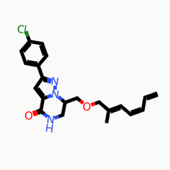 C=C/C=C\C=C(/C)COCC1CNC(=O)c2cc(-c3ccc(Cl)cc3)nn21